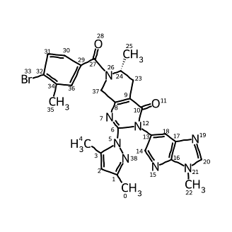 Cc1cc(C)n(-c2nc3c(c(=O)n2-c2cnc4c(c2)ncn4C)C[C@@H](C)N(C(=O)c2ccc(Br)c(C)c2)C3)n1